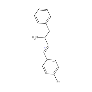 CCc1ccc(/C=C/C(N)Cc2ccccc2)cc1